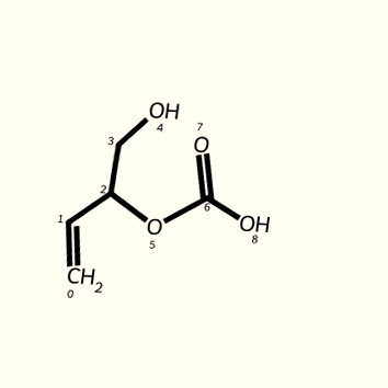 C=CC(CO)OC(=O)O